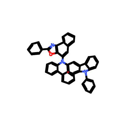 c1ccc(-c2nc3c(o2)c(N(c2ccc4c(c2)c2ccccc2n4-c2ccccc2)c2ccccc2-c2ccccc2)cc2ccccc23)cc1